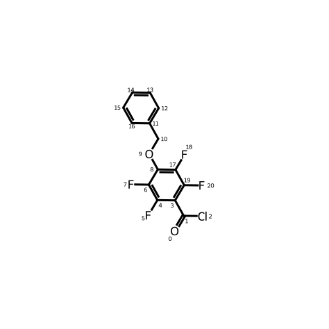 O=C(Cl)c1c(F)c(F)c(OCc2ccccc2)c(F)c1F